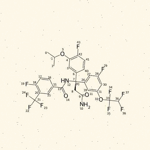 CC(C)Oc1cc([C@@](CC(N)=O)(NC(=O)c2ccc(F)c(C(F)(F)F)c2)c2cc(F)cc(OC(F)(F)C(F)F)c2)ccc1F